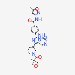 Cc1cc(NC(=O)c2ccc(C3=NC([C@@H]4CCCN(C(=O)C5(C)COC5)C4)=C4C=NC=C[N+]34N)cc2)no1